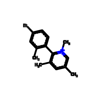 CCc1ccc(-c2c(C)cc(C)c[n+]2C)c(C)c1